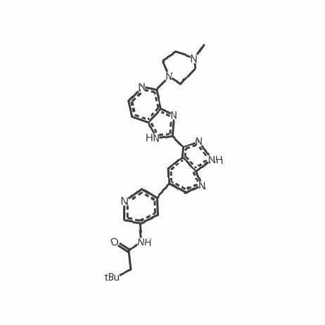 CN1CCN(c2nccc3[nH]c(-c4n[nH]c5ncc(-c6cncc(NC(=O)CC(C)(C)C)c6)cc45)nc23)CC1